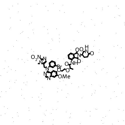 COc1cc2ncnc(N(Cc3cnc([N+](=O)[O-])n3C)c3cccc(Br)c3)c2cc1OCCOC(C)C(=O)Nc1cccc2c1C(=O)N(C1CCC(=O)NC1=O)C2=O